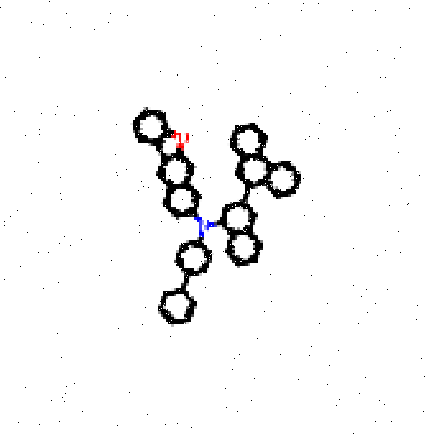 C1=CCC(c2ccc(N(c3ccc4cc5c(cc4c3)oc3ccccc35)c3cc(-c4cc5ccccc5c5ccccc45)cc4ccccc34)cc2)C=C1